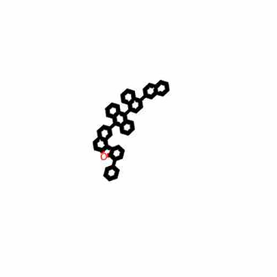 c1ccc(-c2cccc3c2oc2ccc4ccc(-c5c6ccccc6c(-c6ccc(-c7ccc8ccccc8c7)c7ccccc67)c6ccccc56)cc4c23)cc1